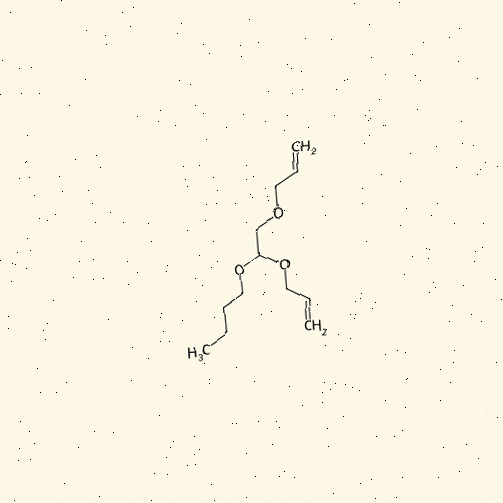 C=CCOCC(OCC=C)OCCCC